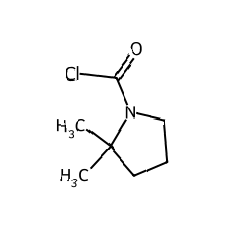 CC1(C)CCCN1C(=O)Cl